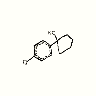 N#CC1(c2ccc(Cl)cc2)CCCC1